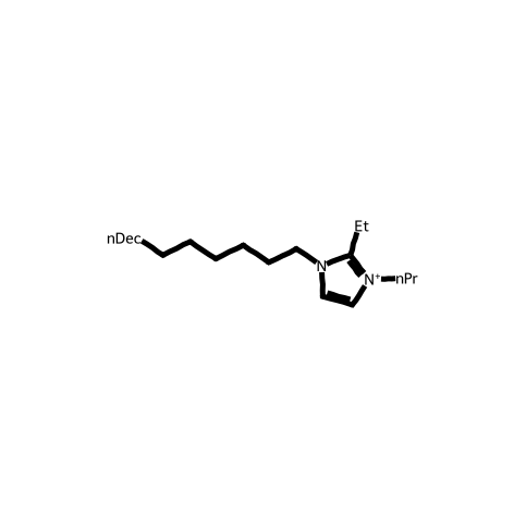 CCCCCCCCCCCCCCCCn1cc[n+](CCC)c1CC